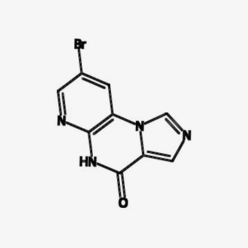 O=c1[nH]c2ncc(Br)cc2n2cncc12